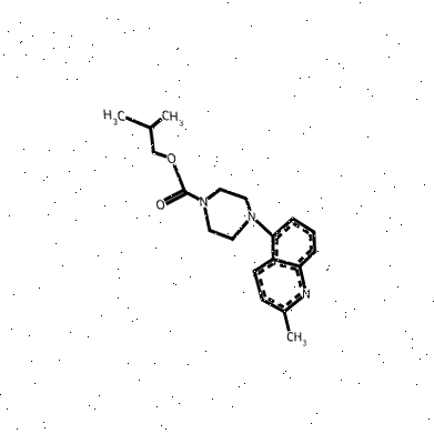 Cc1ccc2c(N3CCN(C(=O)OCC(C)C)CC3)cccc2n1